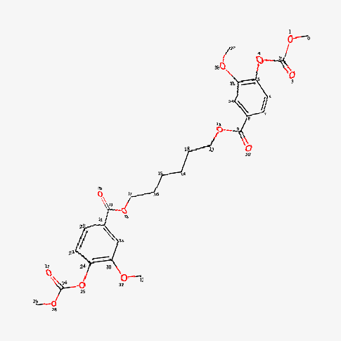 COC(=O)Oc1ccc(C(=O)OCCCCCCOC(=O)c2ccc(OC(=O)OC)c(OC)c2)cc1OC